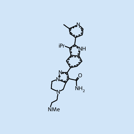 CNCCN1CCn2nc(-c3ccc4[nH]c(-c5ccnc(C)c5)c(C(C)C)c4c3)c(C(N)=O)c2C1